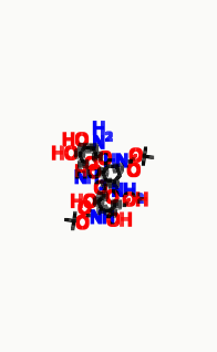 CC(C)(C)OC(=O)N[C@@H]1[C@@H](O)[C@@H](O[C@H]2[C@H](N)C[C@H](NC(=O)OC(C)(C)C)C(O[C@H]3O[C@H](CN)[C@@H](O)[C@H](O)[C@H]3N)[C@@H]2O)O[C@H](CO)[C@H]1O